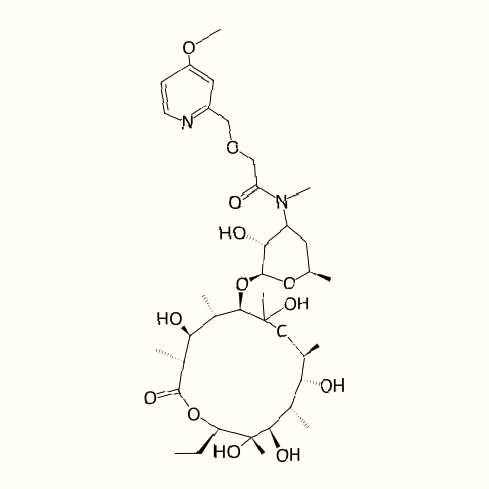 CC[C@H]1OC(=O)[C@H](C)[C@@H](O)[C@H](C)[C@@H](O[C@@H]2O[C@H](C)CC(N(C)C(=O)COCc3cc(OC)ccn3)[C@H]2O)C(C)(O)C[C@@H](C)[C@H](O)[C@H](C)[C@@H](O)[C@]1(C)O